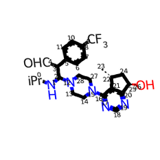 CC(C)NC(C(C=O)c1ccc(C(F)(F)F)cc1)N1CCN(c2ncnc3c2[C@H](C)C[C@H]3O)CC1